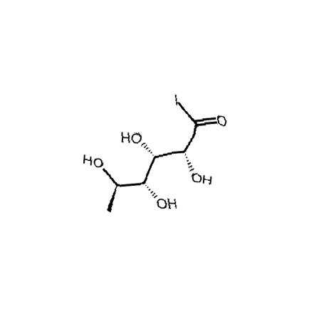 C[C@@H](O)[C@@H](O)[C@H](O)[C@@H](O)C(=O)I